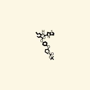 C=C/C=C(NC(=O)c1cc2sccc2n1C)\C(=C/C)COc1ccc(OC2CCCN(C(=O)OC(C)(C)C)C2)cc1